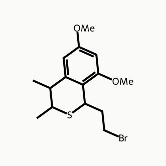 COc1cc(OC)c2c(c1)C(C)C(C)SC2CCBr